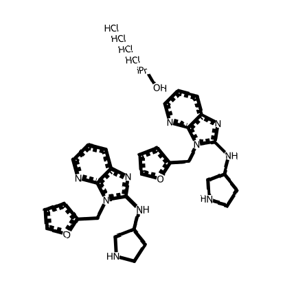 CC(C)O.Cl.Cl.Cl.Cl.c1coc(Cn2c(NC3CCNC3)nc3cccnc32)c1.c1coc(Cn2c(NC3CCNC3)nc3cccnc32)c1